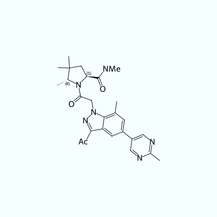 CNC(=O)[C@@H]1CC(C)(C)[C@@H](C)N1C(=O)Cn1nc(C(C)=O)c2cc(-c3cnc(C)nc3)cc(C)c21